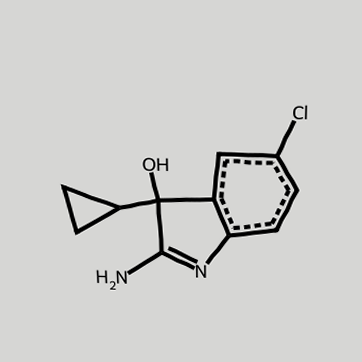 NC1=Nc2ccc(Cl)cc2C1(O)C1CC1